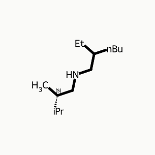 CCCCC(CC)CNC[C@@H](C)C(C)C